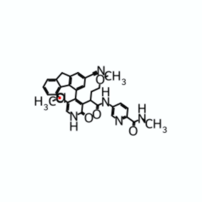 CNC(=O)c1ccc(NC(=O)C(CCOC)c2c(-c3cc(C#N)cc4c3-c3c(Cl)cccc3C4)c(OC)c[nH]c2=O)cn1